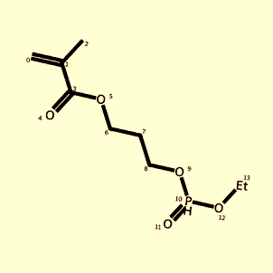 C=C(C)C(=O)OCCCO[PH](=O)OCC